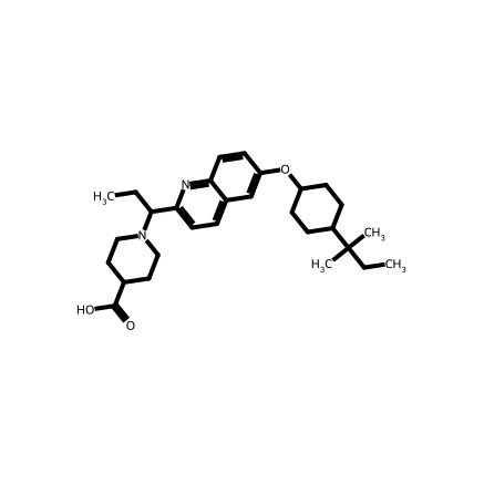 CCC(c1ccc2cc(OC3CCC(C(C)(C)CC)CC3)ccc2n1)N1CCC(C(=O)O)CC1